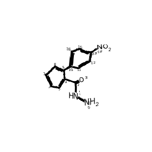 NNC(=O)c1ccccc1-c1ccc([N+](=O)[O-])cc1